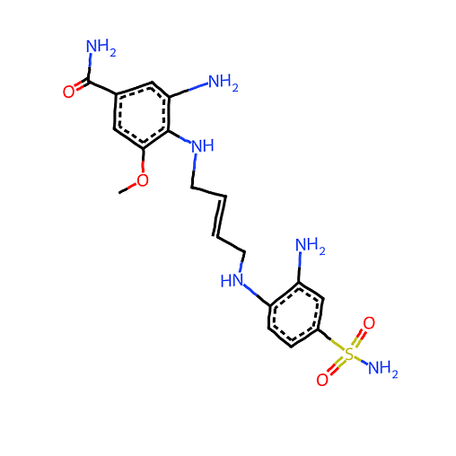 COc1cc(C(N)=O)cc(N)c1NCC=CCNc1ccc(S(N)(=O)=O)cc1N